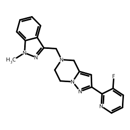 Cn1nc(CN2CCn3nc(-c4ncccc4F)cc3C2)c2ccccc21